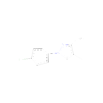 COc1nn(-c2ccc(Br)cc2)cc1C